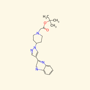 CC(C)(C)OC(=O)CN1CCC(n2cc(-c3cnc4ccccc4n3)cn2)CC1